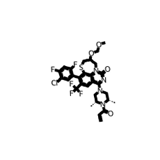 C=CC(=O)N1[C@H](C)CN(c2nc(=O)n3c4c(c(-c5cc(Cl)c(F)cc5F)c(C(F)(F)F)cc24)SCC(OCOC)C3)C[C@@H]1C